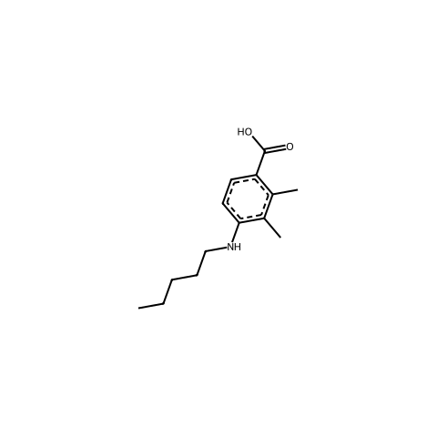 CCCCCNc1ccc(C(=O)O)c(C)c1C